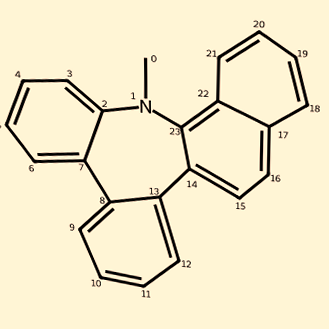 CN1c2ccccc2-c2ccccc2-c2ccc3ccccc3c21